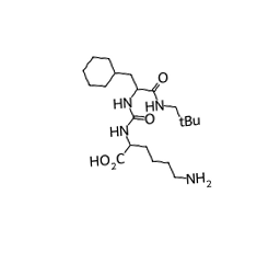 CC(C)(C)CNC(=O)C(CC1CCCCC1)NC(=O)NC(CCCCN)C(=O)O